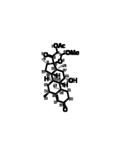 COCO[C@]1(C(=O)COC(C)=O)[C@@H](C)C[C@H]2[C@@H]3C[C@H](C)C4=CC(=O)CC[C@]4(C)[C@H]3[C@@H](O)C[C@@]21C